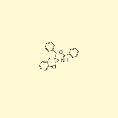 N=C(O[C@@H](c1ccccc1)C1(Cc2ccccc2Cl)CC1)c1ccccc1